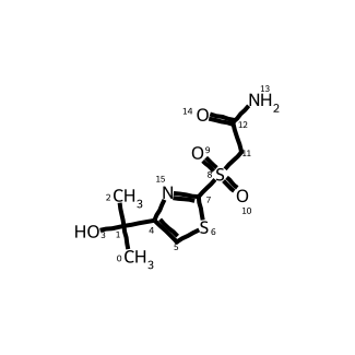 CC(C)(O)c1csc(S(=O)(=O)CC(N)=O)n1